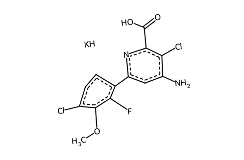 COc1c(Cl)ccc(-c2cc(N)c(Cl)c(C(=O)O)n2)c1F.[KH]